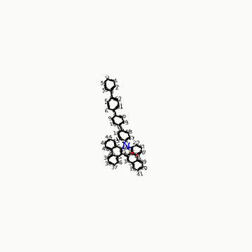 c1ccc(-c2ccc(-c3ccc(-c4ccc(N(c5ccccc5)c5c(-c6ccc7ccccc7c6)c6ccccc6c6ccccc56)cc4)cc3)cc2)cc1